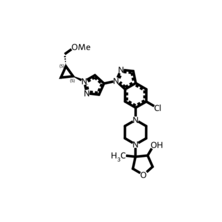 COC[C@H]1C[C@@H]1n1cc(-n2ncc3cc(Cl)c(N4CCN(C5(C)COCC5O)CC4)cc32)cn1